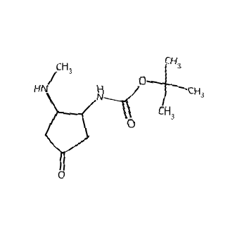 CNC1CC(=O)CC1NC(=O)OC(C)(C)C